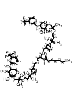 CC(C)(C[C@H]1OC[C@H](Nc2nccc(C(F)(F)F)n2)[C@@H](O)[C@H]1O)OCCC(C)(C)n1cc(COCC(COCc2cn(C(C)(C)CCOC(C)(C)C[C@H]3OC[C@H](Nc4nccc(C(F)(F)F)n4)[C@@H](O)[C@H]3O)nn2)NC(=O)CCCCCN)nn1